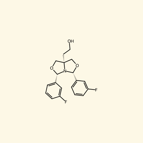 OCC[C@]12CO[C@H](c3cccc(F)c3)N1[C@H](c1cccc(F)c1)OC2